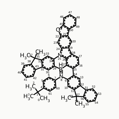 CC(C)(C)c1ccc(Nc2cc3c(cc2-c2ccc4c5cc6c(cc5n5c4c2Bc2cc4c(cc2-5)C(C)(C)c2ccccc2-4)oc2ccccc26)-c2ccccc2C3(C)C)cc1